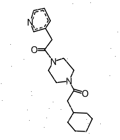 O=C(Cc1cccnc1)N1CCN(C(=O)CC2CCCCC2)CC1